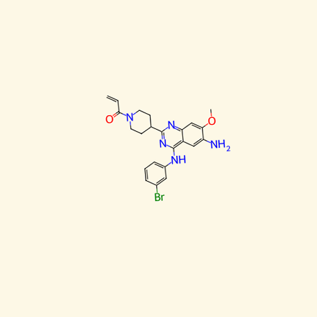 C=CC(=O)N1CCC(c2nc(Nc3cccc(Br)c3)c3cc(N)c(OC)cc3n2)CC1